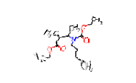 CCCCN(C(=O)OCC)C(C)C(C)C(=O)OCC